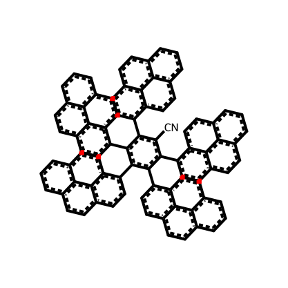 N#Cc1c(-c2ccc3ccc4cccc5ccc2c3c45)c(-c2ccc3ccc4cccc5ccc2c3c45)c(-c2ccc3ccc4cccc5ccc2c3c45)c(-c2ccc3ccc4cccc5ccc2c3c45)c1-c1ccc2ccc3cccc4ccc1c2c34